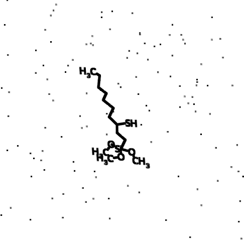 CCCCCCCC(S)CC[Si](OC)(OC)OC